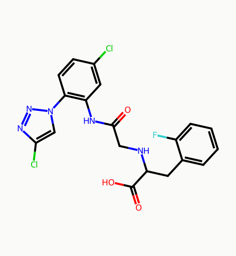 O=C(CNC(Cc1ccccc1F)C(=O)O)Nc1cc(Cl)ccc1-n1cc(Cl)nn1